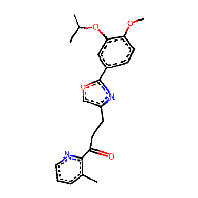 COc1ccc(-c2nc(CCC(=O)c3ncccc3C)co2)cc1OC(C)C